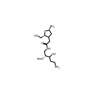 BCCC(O)[C@@H](CNC(=O)CC1C[C@H](B)O[C@@H]1CO)OC